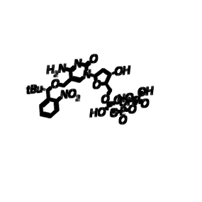 CC(C)(C)[C@H](OCc1cn([C@H]2C[C@H](O)[C@@H](COP(=O)(O)OP(=O)(O)OP(=O)(O)O)O2)c(=O)nc1N)c1ccccc1[N+](=O)[O-]